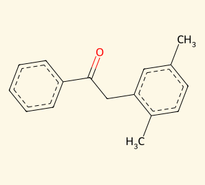 Cc1ccc(C)c(CC(=O)c2ccccc2)c1